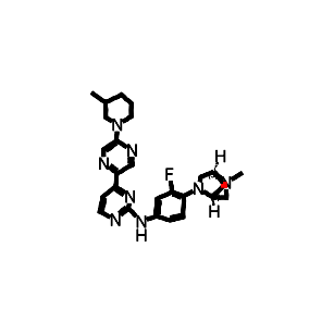 CC1CCCN(c2cnc(-c3ccnc(Nc4ccc(N5C[C@@H]6C[C@H]5CN6C)c(F)c4)n3)cn2)C1